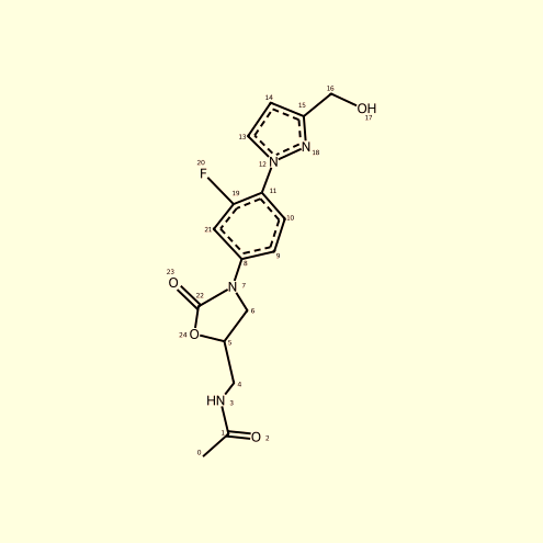 CC(=O)NCC1CN(c2ccc(-n3ccc(CO)n3)c(F)c2)C(=O)O1